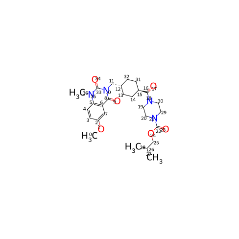 COc1ccc2c(c1)c(=O)n(C[C@H]1CC[C@H](C(=O)N3CCN(C(=O)OCC(C)C)CC3)CC1)c(=O)n2C